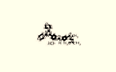 CN(C)CCN(C)C(=O)c1ccc(NC(=O)Nc2ccc(-c3nc(N4CCOCC4)nc(N4CCOCC4)n3)cc2)cc1.Cl